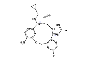 CC(=N)/N=C1\NC/C(C=N)=C(/NCC2CC2)c2cnc(N)c(c2)OC(C)c2cc(F)ccc21